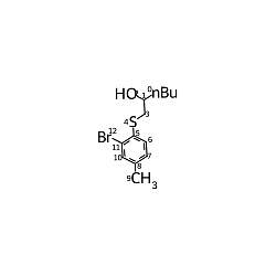 CCCCC(O)CSc1ccc(C)cc1Br